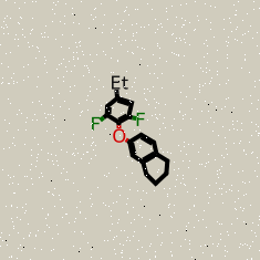 CCc1cc(F)c(Oc2ccc3c(c2)CCCC3)c(F)c1